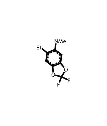 CCc1cc2c(cc1NC)OC(F)(F)O2